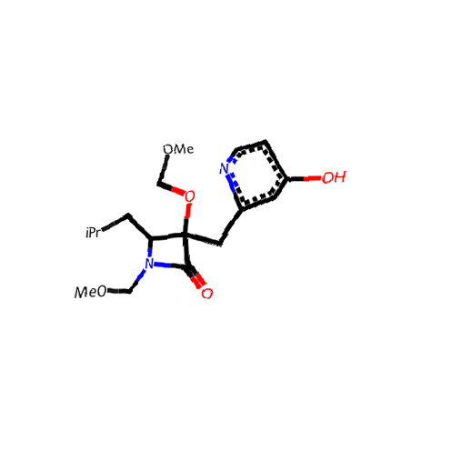 COCOC1(Cc2cc(O)ccn2)C(=O)N(COC)C1CC(C)C